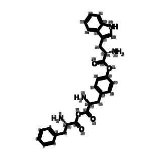 N[C@@H](Cc1ccccc1)C(=O)OC(=O)[C@@H](N)Cc1ccc(OC(=O)[C@@H](N)Cc2c[nH]c3ccccc23)cc1